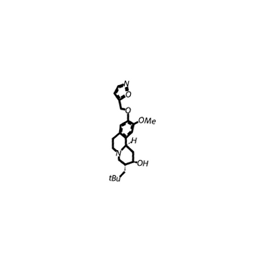 COc1cc2c(cc1OCc1ccno1)CCN1C[C@@H](CC(C)(C)C)[C@H](O)C[C@H]21